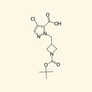 CC(C)(C)OC(=O)N1CC(Cn2ncc(Cl)c2C(=O)O)C1